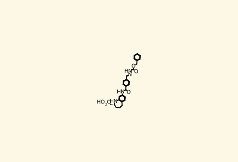 O=C(O)C[C@H]1CCCc2ccc(NC(=O)c3ccc(C=NNC(=O)OCc4ccccc4)cc3)cc2N1